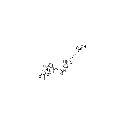 CN(C(=O)CCCNc1cccc2c1C(=O)N(C1CCC(=O)NC1=O)C2=O)c1ccc(NC(=O)CCCCCCC(=O)NO)cc1